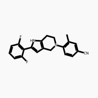 Cc1cc(C#N)ccc1N1CCc2[nH]c(-c3c(F)cccc3F)cc2C1